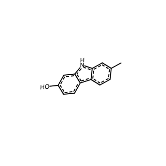 Cc1ccc2c(c1)[nH]c1cc(O)ccc12